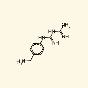 N=C(N)NC(=N)Nc1ccc(CN)cc1